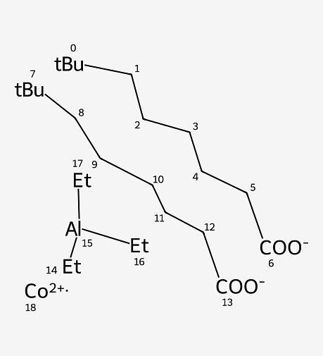 CC(C)(C)CCCCCC(=O)[O-].CC(C)(C)CCCCCC(=O)[O-].C[CH2][Al]([CH2]C)[CH2]C.[Co+2]